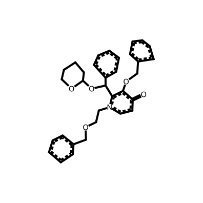 O=c1ccn(CCOCc2ccccc2)c(C(OC2CCCCO2)c2ccccc2)c1OCc1ccccc1